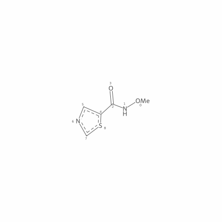 CONC(=O)c1cncs1